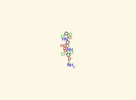 NCCCOc1cc(Cl)c(C(=O)NC(Cc2ccc(NC(=O)c3c(Cl)cccc3Cl)cc2)C(=O)O)c(Cl)c1